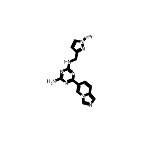 CCCn1ccc(CNc2nc(N)nc(-c3ccc4cncn4c3)n2)n1